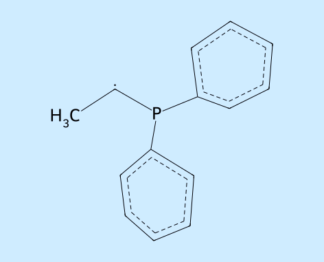 C[CH]P(c1ccccc1)c1ccccc1